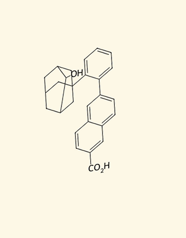 O=C(O)c1ccc2cc(-c3ccccc3C34CC5CC(C3)C(O)C(C5)C4)ccc2c1